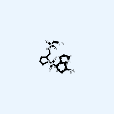 C=CS(=O)(=O)NCC1CCCN1S(=O)(=O)c1ccc(C)c2ncccc12